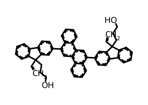 C=CC1(CCCO)c2ccccc2-c2ccc(-c3cc4c5ccccc5c(-c5ccc6c(c5)C(C=C)(CCCO)c5ccccc5-6)cc4c4ccccc34)cc21